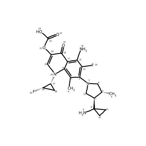 Cc1c(N2C[C@H](C)[C@@H](C3(N)CC3)C2)c(F)c(N)c2c(=O)c(OC(=O)O)cn([C@@H]3C[C@@H]3F)c12